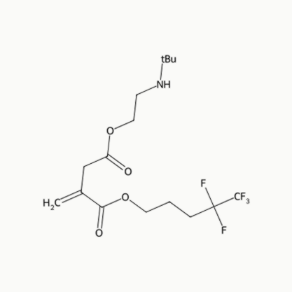 C=C(CC(=O)OCCNC(C)(C)C)C(=O)OCCCC(F)(F)C(F)(F)F